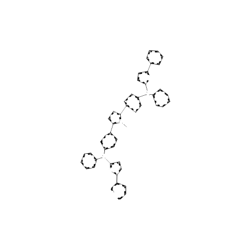 Cn1c(-c2ccc(N(c3ccccc3)c3ccc(-c4ccccc4)s3)cc2)ccc1-c1ccc(N(c2ccccc2)c2ccc(-c3ccccc3)s2)cc1